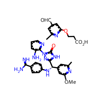 COc1cc([C@H](Nc2ccc(C(=N)N)cc2)c2nn(-c3ncccc3N)c(=O)[nH]2)cc(C)n1.Cc1cc(C=O)cc(OCCC(=O)O)n1